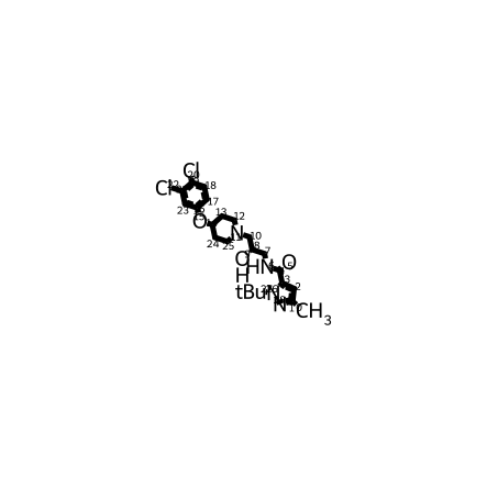 Cc1cc(C(=O)NC[C@@H](O)CN2CCC(Oc3ccc(Cl)c(Cl)c3)CC2)n(C(C)(C)C)n1